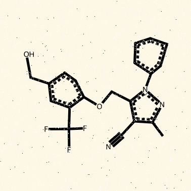 Cc1nn(-c2ccccc2)c(COc2ccc(CO)cc2C(F)(F)F)c1C#N